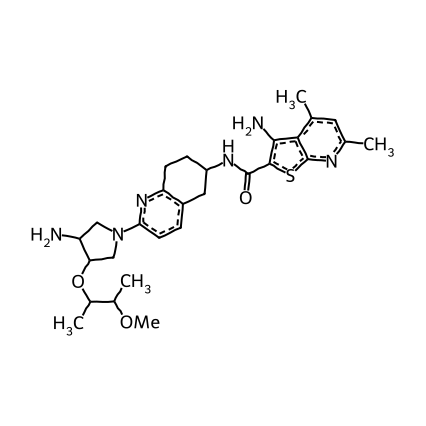 COC(C)C(C)OC1CN(c2ccc3c(n2)CCC(NC(=O)c2sc4nc(C)cc(C)c4c2N)C3)CC1N